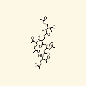 CC(=O)CCC(NC(=O)CCC(NC(CCC(C)=O)C(C)=O)C(=O)NC(CC(C)=O)CC(=O)NC(CCC(C)=O)C(C)=O)C(C)=O